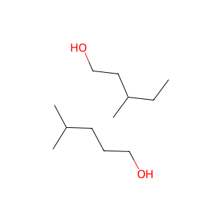 CC(C)CCCO.CCC(C)CCO